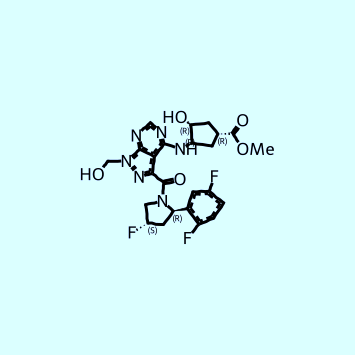 COC(=O)[C@H]1C[C@@H](O)[C@H](Nc2ncnc3c2c(C(=O)N2C[C@@H](F)C[C@@H]2c2cc(F)ccc2F)nn3CO)C1